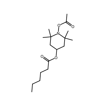 CCCCCC(=O)OC1CC(C)(C)N(OC(C)=O)C(C)(C)C1